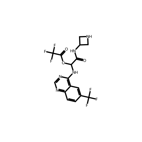 O=C(NC1CNC1)C(Nc1ncnc2ccc(C(F)(F)F)cc12)OC(=O)C(F)(F)F